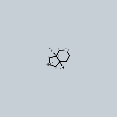 C1C[C@@H]2CNC[C@@H]2CO1